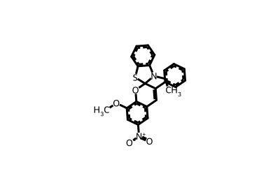 CCN1c2ccccc2SC12Oc1c(cc([N+](=O)[O-])cc1OC)C=C2c1ccccc1